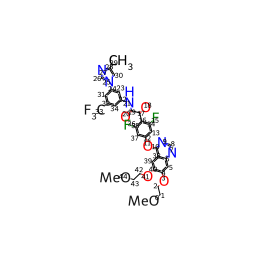 COCCOc1cc2ncnc(Oc3cc(F)c(C(=O)C(=O)Nc4cc(-n5cnc(C)c5)cc(C(F)(F)F)c4)c(F)c3)c2cc1OCCOC